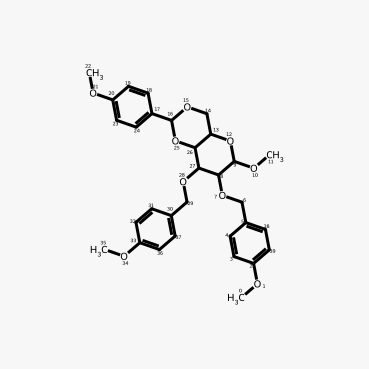 COc1ccc(COC2C(OC)OC3COC(c4ccc(OC)cc4)OC3C2OCc2ccc(OC)cc2)cc1